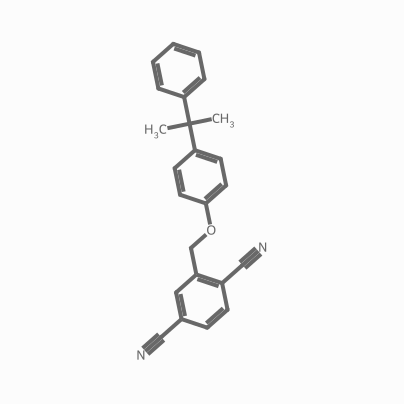 CC(C)(c1ccccc1)c1ccc(OCc2cc(C#N)ccc2C#N)cc1